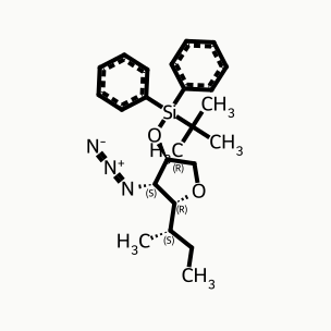 CC[C@H](C)[C@H]1OC[C@H](O[Si](c2ccccc2)(c2ccccc2)C(C)(C)C)[C@H]1N=[N+]=[N-]